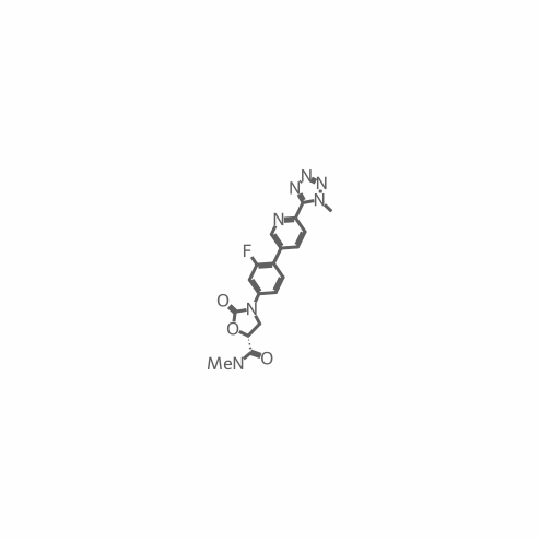 CNC(=O)[C@H]1CN(c2ccc(-c3ccc(-c4nnnn4C)nc3)c(F)c2)C(=O)O1